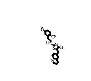 COc1ccc(OC)c(CCNC2=NC(=O)/C(=C/c3ccc4ncccc4c3)S2)c1